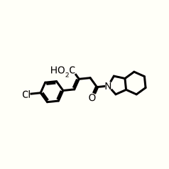 O=C(O)C(=Cc1ccc(Cl)cc1)CC(=O)N1CC2CCCCC2C1